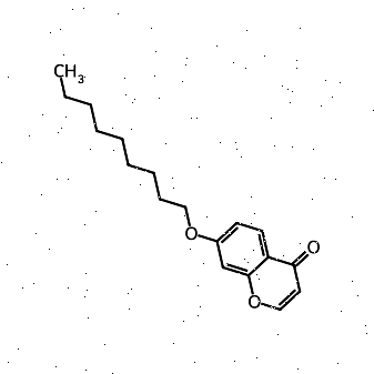 CCCCCCCCCOc1ccc2c(=O)ccoc2c1